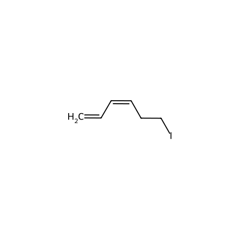 C=C/C=C\CCI